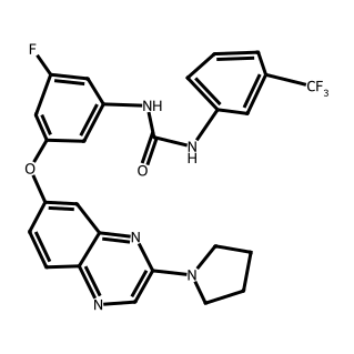 O=C(Nc1cc(F)cc(Oc2ccc3ncc(N4CCCC4)nc3c2)c1)Nc1cccc(C(F)(F)F)c1